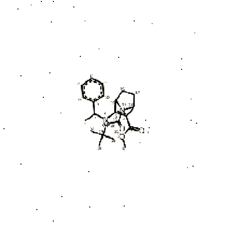 COC(=O)C1=C(NC(C)c2ccccc2)C2CCC1N2C(=O)OC(C)(C)C